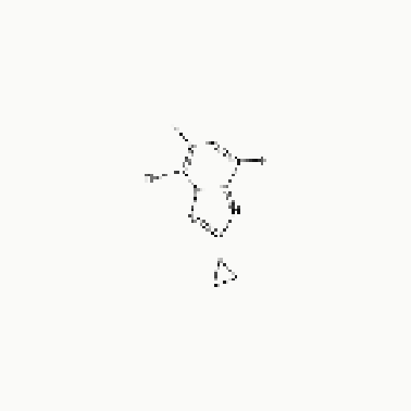 Cc1cc(F)c2nc(C3CC3)nn2c1Cl